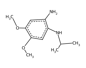 COc1cc(N)c(NC(C)C)cc1OC